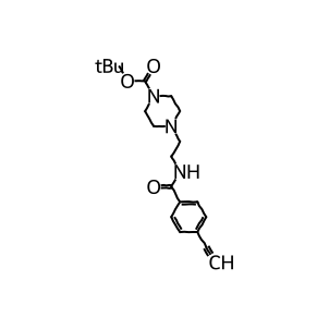 C#Cc1ccc(C(=O)NCCN2CCN(C(=O)OC(C)(C)C)CC2)cc1